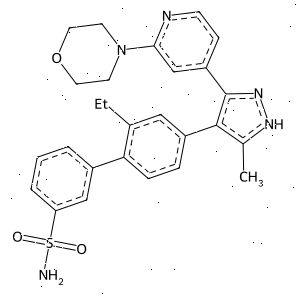 CCc1cc(-c2c(-c3ccnc(N4CCOCC4)c3)n[nH]c2C)ccc1-c1cccc(S(N)(=O)=O)c1